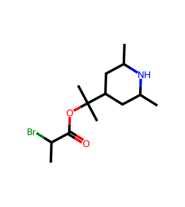 CC1CC(C(C)(C)OC(=O)C(C)Br)CC(C)N1